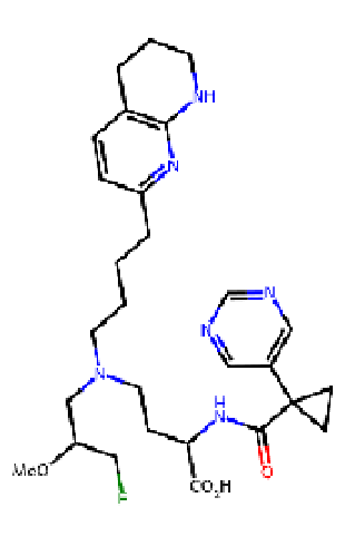 COC(CF)CN(CCCCc1ccc2c(n1)NCCC2)CCC(NC(=O)C1(c2cncnc2)CC1)C(=O)O